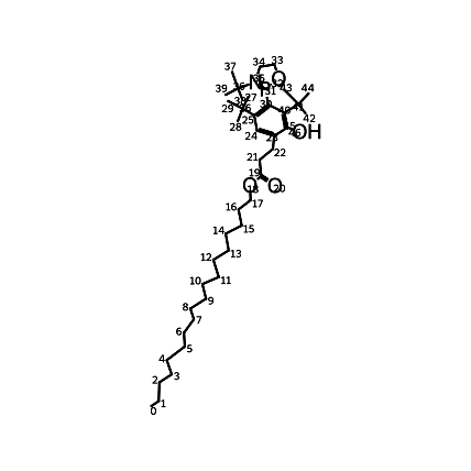 CCCCCCCCCCCCCCCCCCOC(=O)CCc1cc(C(C)(C)C)c(P2OCCN2C(C)(C)C)c(C(C)(C)C)c1O